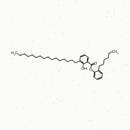 CCCCCCCCCCCCCCCCc1cccc(C(=O)Oc2ccccc2CCCCCC)c1O